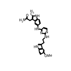 COc1ccc2[nH]cc(CCNc3nccc(Nc4ccc5[nH]c(C)c(CC(N)=O)c5c4)n3)c2c1